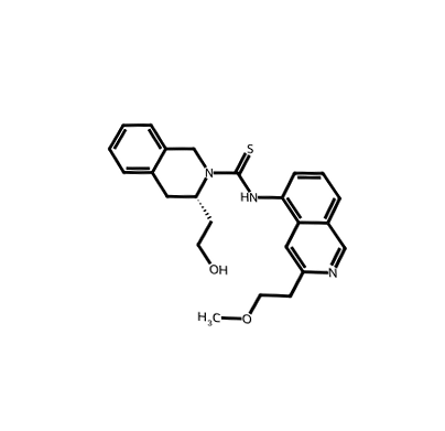 COCCc1cc2c(NC(=S)N3Cc4ccccc4C[C@H]3CCO)cccc2cn1